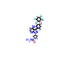 NC(=O)N1CC[C@@H](n2nc(-c3ccc(Oc4c(F)c(F)cc(F)c4F)cc3F)c3c(N)ncnc32)C1